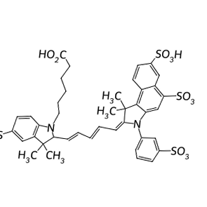 CC1(C)\C(=C/C=C/C=C/C2N(CCCCCC(=O)O)c3ccc(S(=O)(=O)O)cc3C2(C)C)N(c2cccc(S(=O)(=O)O)c2)c2cc(S(=O)(=O)O)c3cc(S(=O)(=O)O)ccc3c21